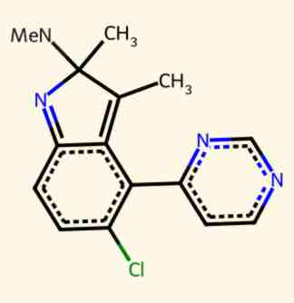 CNC1(C)N=c2ccc(Cl)c(-c3ccncn3)c2=C1C